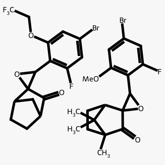 COc1cc(Br)cc(F)c1C1OC12C(=O)C1(C)CCC2C1(C)C.O=C1C2CCC(C2)C12OC2c1c(F)cc(Br)cc1OCC(F)(F)F